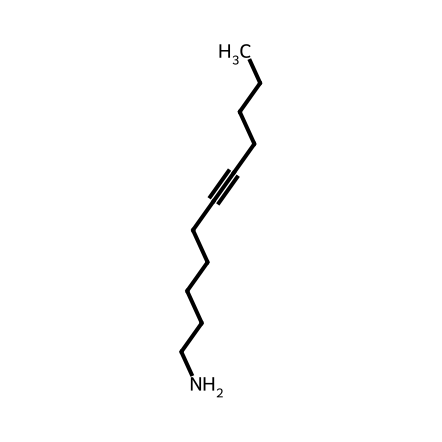 CCCCC#CCCCCCN